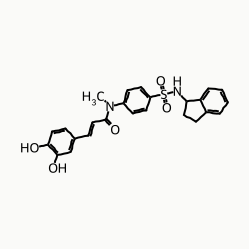 CN(C(=O)C=Cc1ccc(O)c(O)c1)c1ccc(S(=O)(=O)NC2CCc3ccccc32)cc1